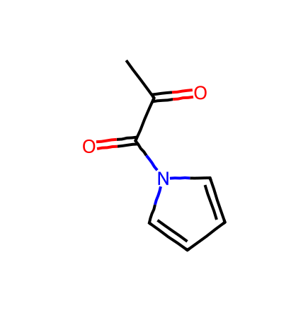 CC(=O)C(=O)n1cccc1